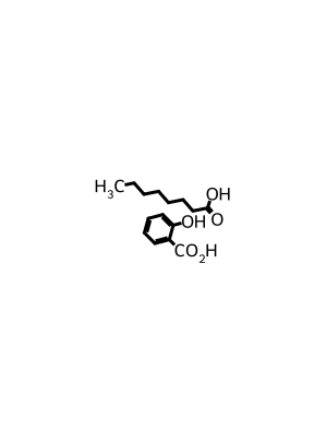 CCCCCCCC(=O)O.O=C(O)c1ccccc1O